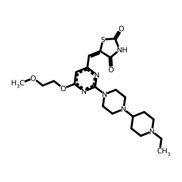 CCN1CCC(N2CCN(c3nc(C=C4SC(=O)NC4=O)cc(OCCOC)n3)CC2)CC1